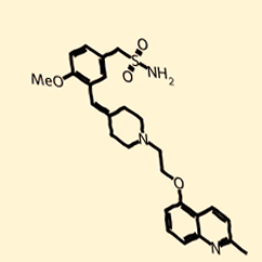 COc1ccc(CS(N)(=O)=O)cc1C=C1CCN(CCOc2cccc3nc(C)ccc23)CC1